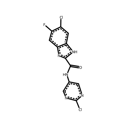 O=C(Nc1cnc(Cl)nc1)c1nc2cc(F)c(Cl)cc2[nH]1